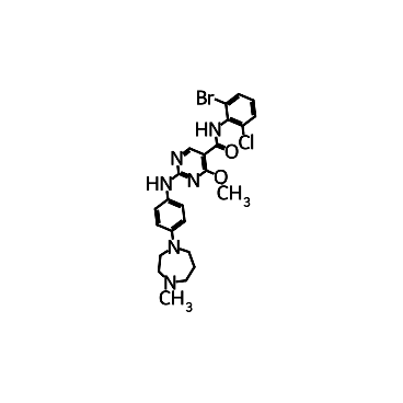 COc1nc(Nc2ccc(N3CCCN(C)CC3)cc2)ncc1C(=O)Nc1c(Cl)cccc1Br